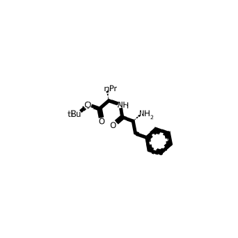 CCC[C@H](NC(=O)[C@H](N)Cc1ccccc1)C(=O)OC(C)(C)C